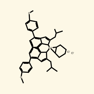 COc1ccc(-c2cccc3c2C=C(CC(C)C)[CH]3[Zr+2]2([CH]3C(CC(C)C)=Cc4c(-c5ccc(OC)cc5)cccc43)[CH]3CCCC[CH]32)cc1.[Cl-].[Cl-]